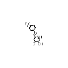 O=c1cc(COc2ccc(C(F)(F)F)cc2)[nH]nc1O